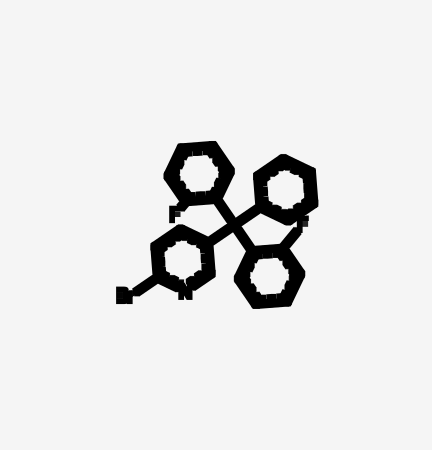 Fc1ccccc1C(c1ccccc1)(c1ccc(Br)nc1)c1ccccc1F